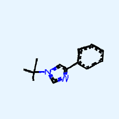 CC(C)(C)n1cnc(-c2ccccc2)c1